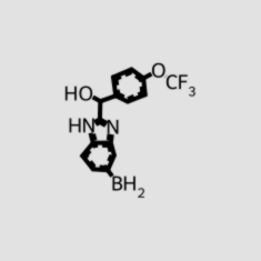 Bc1ccc2[nH]c(C(O)c3ccc(OC(F)(F)F)cc3)nc2c1